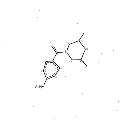 CC(=O)Nc1ccc(C(=O)N2CC(C)CC(C)C2)cc1